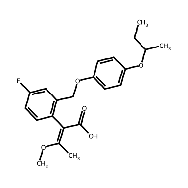 CCC(C)Oc1ccc(OCc2cc(F)ccc2C(C(=O)O)=C(C)OC)cc1